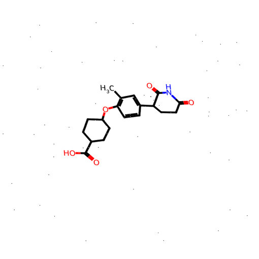 Cc1cc(C2CCC(=O)NC2=O)ccc1OC1CCC(C(=O)O)CC1